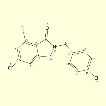 O=C1c2c(I)cc(Cl)cc2CN1Cc1ccc(Cl)cc1